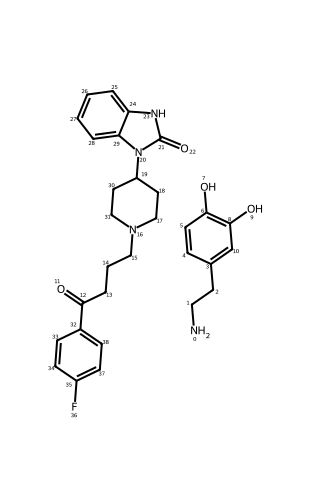 NCCc1ccc(O)c(O)c1.O=C(CCCN1CCC(n2c(=O)[nH]c3ccccc32)CC1)c1ccc(F)cc1